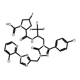 O=C(NC(Cn1c(-c2ccc(Cl)cc2)nn(Cc2ncn(-c3ncccc3Cl)n2)c1=O)C(F)(F)F)C1CC(F)CN1C(=O)O